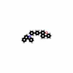 c1cc(-c2ccc(-c3ccc4c5c(cccc35)-c3ccccc3O4)cc2)cc(-n2c3ccccc3c3c4ccccc4ccc32)c1